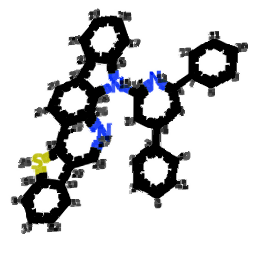 c1ccc(-c2cc(-c3ccccc3)nc(-n3c4ccccc4c4ccc5c(ncc6c7ccccc7sc65)c43)c2)cc1